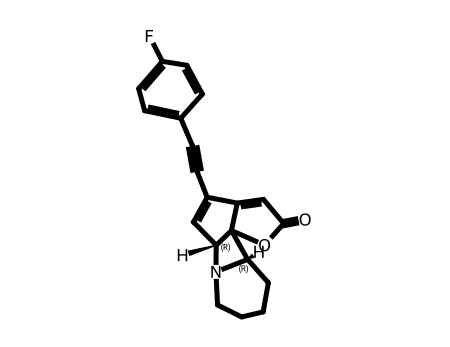 O=C1C=C2C(C#Cc3ccc(F)cc3)=C[C@H]3N4CCCC[C@@H]4C23O1